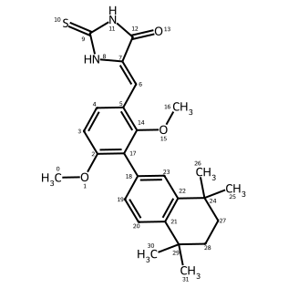 COc1ccc(/C=C2\NC(=S)NC2=O)c(OC)c1-c1ccc2c(c1)C(C)(C)CCC2(C)C